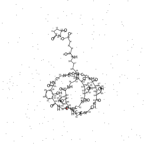 O=C(CCCC(=O)ON1C(=O)CCC1=O)NCCCCC1CN2CCNC(=O)c3cccc(c3O)C(=O)NCCN(CCNC(=O)c3cccc(c3O)C(=O)N1)CCN1CCNC(=O)c3cccc(c3O)C(=O)NCCN(CCNC(=O)c3cccc(c3O)C(=O)NCC1)CC2